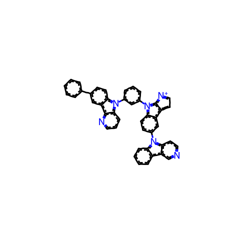 C1=[N+]=c2c(c3cc(-n4c5ccccc5c5cnccc54)ccc3n2-c2cccc(-n3c4ccc(-c5ccccc5)cc4c4ncccc43)c2)=C1